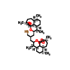 C[C@@H]1CC[C@H]2[C@@H](C)C(CC(CS)CC3O[C@@H]4O[C@]5(C)CC[C@H]6[C@H](C)CC[C@@H]([C@H]3C)[C@@]46OO5)O[C@@H]3O[C@]4(C)CC[C@@H]1C32OO4